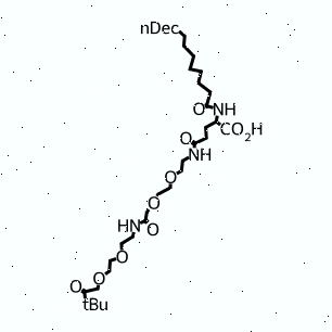 CCCCCCCCCCCCCCCCCC(=O)NC(CCC(=O)NCCOCCOCC(=O)NCCOCCOCC(=O)C(C)(C)C)C(=O)O